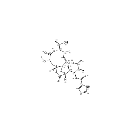 CO[C@H]1C[C@H]2CC(=O)[C@@H]3C[C@]2(O[C@H]3[C@H](OC(=O)c2ccc[nH]2)[C@H](C)[C@H](C)O)/C(C)=C/[C@@H](C)[C@@H]([C@@H](C)O)OC1=O